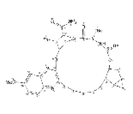 CCC1C2CN(C(=O)C(C(C)(C)C)NC(=O)OC3CC4CC4C3CCCCCc3nc4ccc(OC)cc4nc3O2)C1C(N)=O